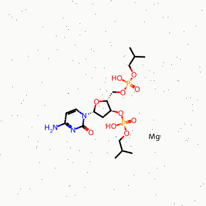 CC(C)COP(=O)(O)OC[C@H]1O[C@@H](n2ccc(N)nc2=O)C[C@@H]1OP(=O)(O)OCC(C)C.[Mg]